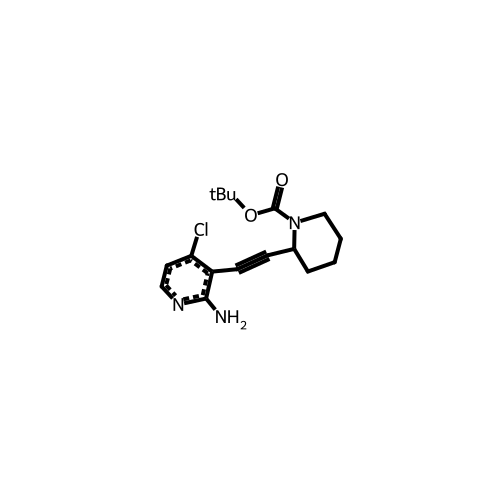 CC(C)(C)OC(=O)N1CCCCC1C#Cc1c(Cl)ccnc1N